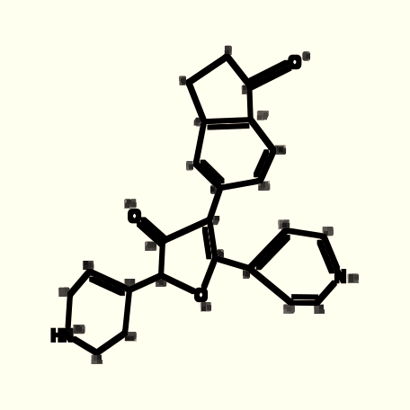 O=C1CCc2cc(C3=C(c4ccncc4)OC(C4=CCNCC4)C3=O)ccc21